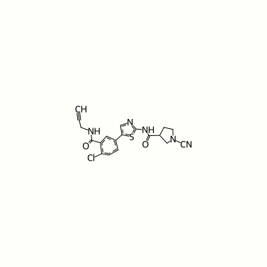 C#CCNC(=O)c1cc(-c2cnc(NC(=O)C3CCN(C#N)C3)s2)ccc1Cl